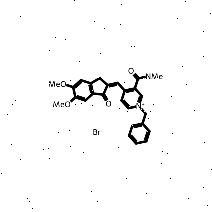 CNC(=O)c1c[n+](Cc2ccccc2)ccc1C=C1Cc2cc(OC)c(OC)cc2C1=O.[Br-]